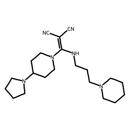 N#CC(C#N)=C(NCCCN1CCCCC1)N1CCC(N2CCCC2)CC1